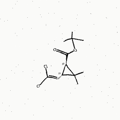 CC(C)(C)OC(=O)[C@@H]1[C@@H](C=C(Cl)Cl)C1(C)C